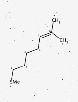 CSCCCCC=C(C)C